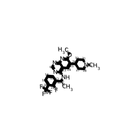 COc1nc2ncnc(N[C@H](C)c3cccc(C(F)(F)F)c3F)c2cc1C1CCN(C)CC1